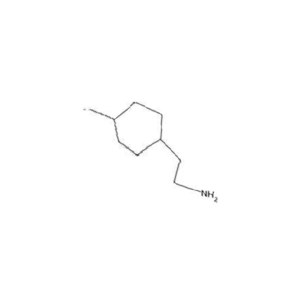 [CH2]C1CCC(CCN)CC1